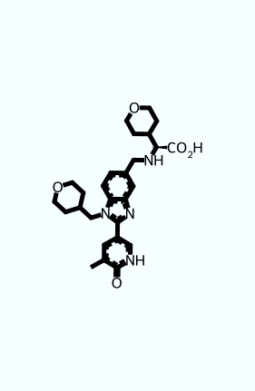 Cc1cc(-c2nc3cc(CN[C@H](C(=O)O)C4CCOCC4)ccc3n2CC2CCOCC2)c[nH]c1=O